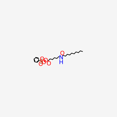 CCCCCCCCCC(=O)NCCCCCC(=O)OOS(=O)(=O)c1ccccc1